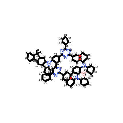 CC1(C)c2ccccc2-c2cc3c4ccccc4n(-c4ccc(-c5nc(-c6ccccc6)nc(-c6ccccc6)n5)cc4-c4cc(-c5ccccc5)nc(-c5cccc(-c6ccc7c8c6N(c6ccccc6)c6ccccc6B8c6ccccc6N7c6ccccc6)c5)n4)c3cc21